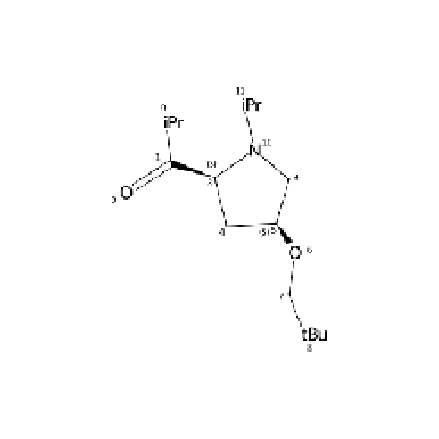 CC(C)C(=O)[C@@H]1C[C@H](OCC(C)(C)C)CN1C(C)C